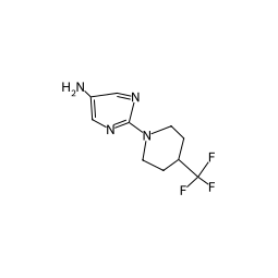 Nc1cnc(N2CCC(C(F)(F)F)CC2)nc1